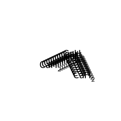 [CaH2].[CaH2].[CaH2].[CaH2].[CaH2].[CaH2].[CaH2].[CaH2].[CaH2].[CaH2].[CaH2].[CaH2].[CaH2].[CaH2].[CaH2].[CaH2].[CaH2].[CaH2].[CaH2].[CaH2].[CaH2].[CaH2]